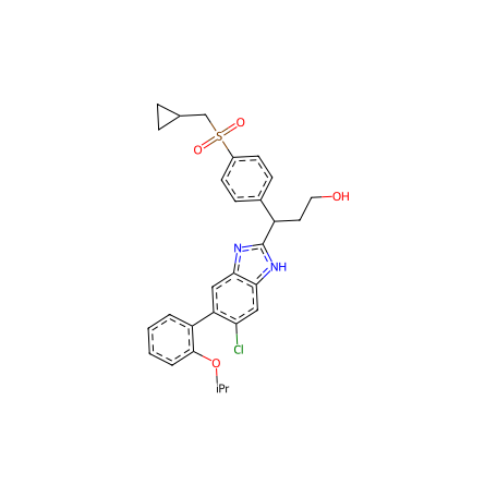 CC(C)Oc1ccccc1-c1cc2nc(C(CCO)c3ccc(S(=O)(=O)CC4CC4)cc3)[nH]c2cc1Cl